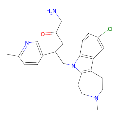 Cc1ccc(C(CC(=O)CN)Cn2c3c(c4cc(Cl)ccc42)CCN(C)CC3)cn1